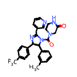 Cc1cccc(C2C(c3ccc(C(F)(F)F)cc3)N=C(c3cccnc3)N2C(=O)N2CCNC(=O)C2)c1